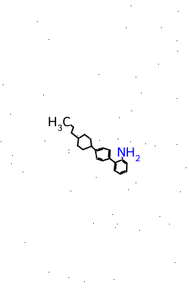 CCCC1CCC(c2ccc(-c3ccccc3N)cc2)CC1